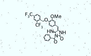 COc1cc(C=C2NC(=O)N(C(=O)c3ccccc3)C2=N)ccc1OCc1ccc(C(F)(F)F)cc1C(F)(F)F